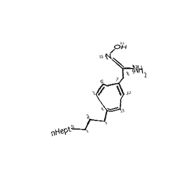 CCCCCCCCCCc1ccc(/C(N)=N/O)cc1